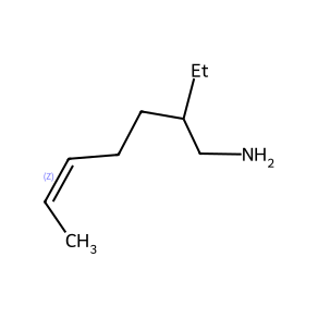 C/C=C\CCC(CC)CN